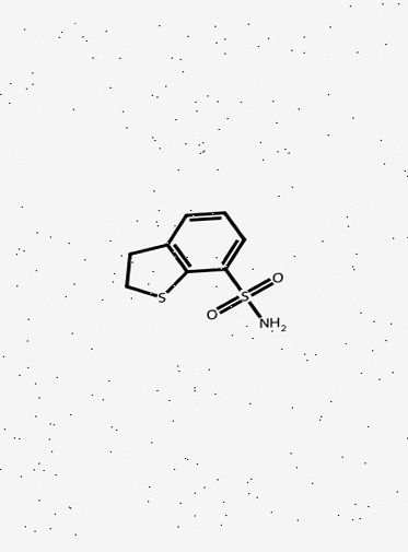 NS(=O)(=O)c1cccc2c1SCC2